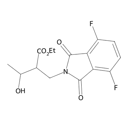 CCOC(=O)C(CN1C(=O)c2c(F)ccc(F)c2C1=O)C(C)O